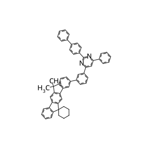 CC1(C)c2ccc(-c3cccc(-c4cc(-c5ccccc5)nc(-c5ccc(-c6ccccc6)cc5)n4)c3)cc2-c2cc3c(cc21)-c1ccccc1C31CCCCC1